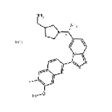 CCOc1cc2nc(-c3nnc4ccc([C@H](N5CCC(CN)C5)C(F)(F)F)cn34)ccc2cc1F.Cl